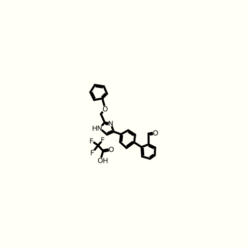 O=C(O)C(F)(F)F.O=Cc1ccccc1-c1ccc(-c2c[nH]c(COc3ccccc3)n2)cc1